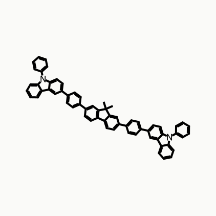 CC1(C)c2cc(-c3ccc(-c4ccc5c(c4)c4ccccc4n5-c4ccccc4)cc3)ccc2-c2ccc(-c3ccc(-c4ccc5c(c4)c4ccccc4n5-c4ccccc4)cc3)cc21